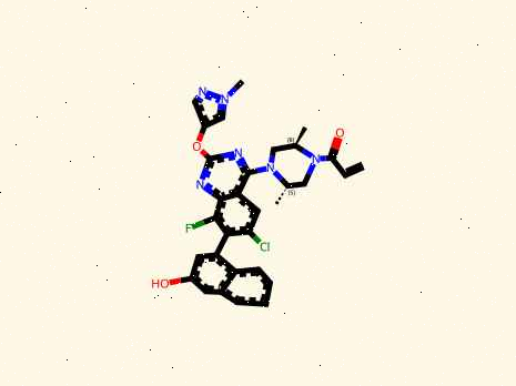 C=CC(=O)N1C[C@H](C)N(c2nc(Oc3cnn(C)c3)nc3c(F)c(-c4cc(O)cc5ccccc45)c(Cl)cc23)C[C@H]1C